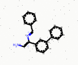 N/C=C(\N=C\c1ccccc1)c1cccc(-c2ccccc2)c1